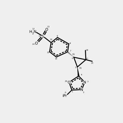 CC(C)c1nnc([C@H]2[C@H](c3ccc(S(N)(=O)=O)cc3)C2(C)C)o1